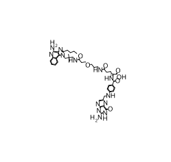 CCCCc1nc2c(N)nc3ccccc3c2n1CC(C)(C)CNC(=O)CCOCCCNC(=O)CC[C@H](NC(=O)c1ccc(NCc2cnc3nc(N)[nH]c(=O)c3n2)cc1)C(=O)O